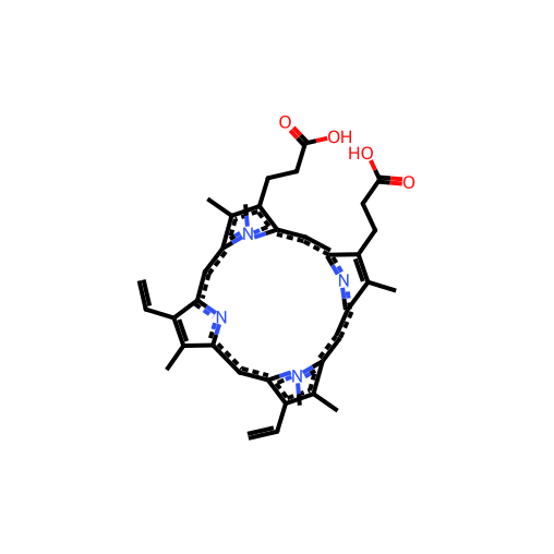 C=CC1=C(C)c2cc3c(C=C)c(C)c(cc4nc(cc5c(CCC(=O)O)c(C)c(cc1n2)n5C)C(CCC(=O)O)=C4C)n3C